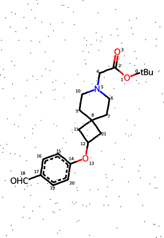 CC(C)(C)OC(=O)CN1CCC2(CC1)CC(Oc1ccc(C=O)cc1)C2